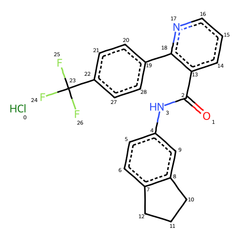 Cl.O=C(Nc1ccc2c(c1)CCC2)c1cccnc1-c1ccc(C(F)(F)F)cc1